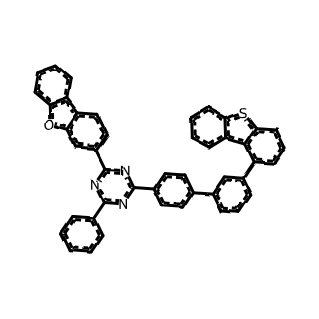 c1ccc(-c2nc(-c3ccc(-c4cccc(-c5cccc6sc7ccccc7c56)c4)cc3)nc(-c3ccc4c(c3)oc3ccccc34)n2)cc1